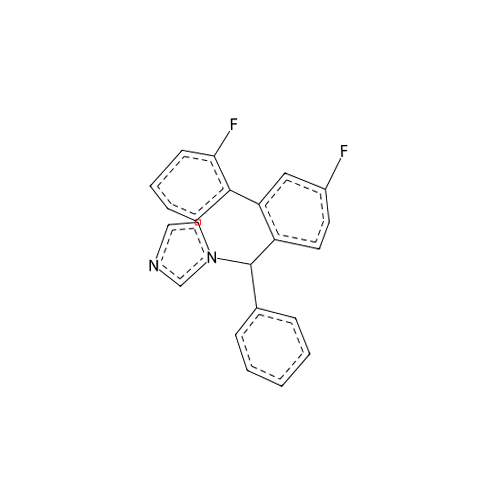 Fc1ccc(C(c2ccccc2)n2ccnc2)c(-c2ccccc2F)c1